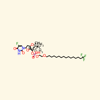 CC(C)(C)[Si](C)(C)OC1CC(n2cc(F)c(=O)[nH]c2=O)OC1COP(=O)(O)OCCOCCCCCCCCCCCCCCCC(F)(F)F